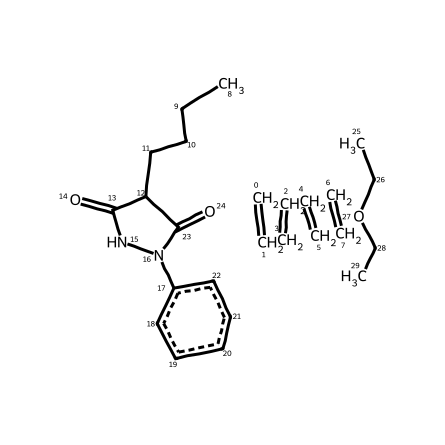 C=C.C=C.C=C.C=C.CCCCC1C(=O)NN(c2ccccc2)C1=O.CCOCC